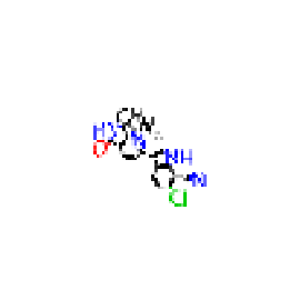 CC1(C)NC(=O)c2ccc(-c3c[nH]c4c(C#N)c(Cl)ccc34)nc21